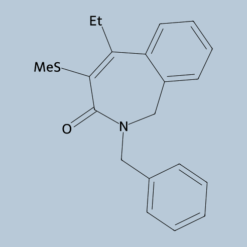 CCC1=C(SC)C(=O)N(Cc2ccccc2)Cc2ccccc21